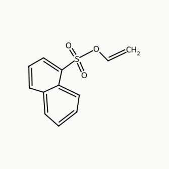 C=COS(=O)(=O)c1cccc2ccccc12